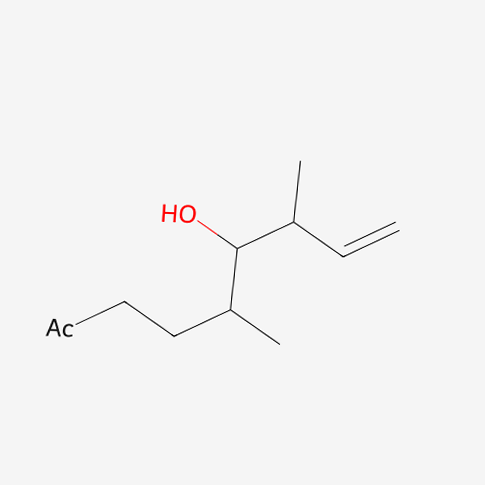 C=CC(C)C(O)C(C)CCC(C)=O